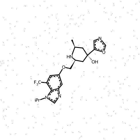 CC(C)n1cnc2cc(OC[C@@H]3C[C@](O)(c4cnco4)C[C@H](C)N3)cc(C(F)(F)F)c21